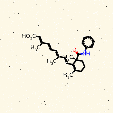 CC1=C(/C=C/C(C)=C/C=C/C(C)=C/C(=O)O)[C@](C)(C(=O)Nc2ccccc2)CCC1